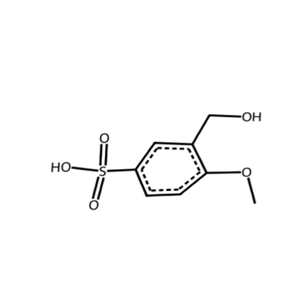 COc1ccc(S(=O)(=O)O)cc1CO